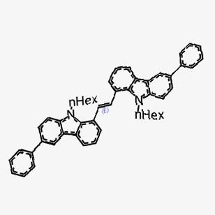 CCCCCCn1c2ccc(-c3ccccc3)cc2c2cccc(/C=C/c3cccc4c5cc(-c6ccccc6)ccc5n(CCCCCC)c34)c21